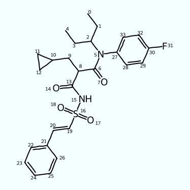 CCC(CC)N(C(=O)C(CC1CC1)C(=O)NS(=O)(=O)/C=C/c1ccccc1)c1ccc(F)cc1